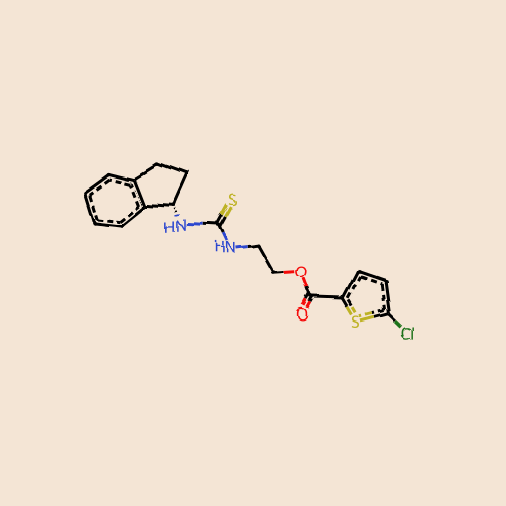 O=C(OCCNC(=S)N[C@H]1CCc2ccccc21)c1ccc(Cl)s1